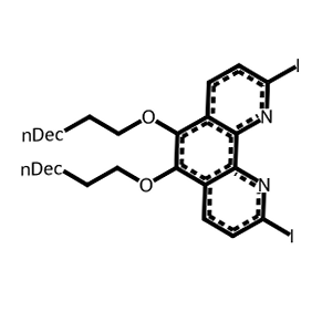 CCCCCCCCCCCCOc1c(OCCCCCCCCCCCC)c2ccc(I)nc2c2nc(I)ccc12